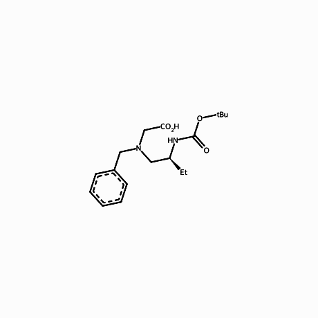 CC[C@@H](CN(CC(=O)O)Cc1ccccc1)NC(=O)OC(C)(C)C